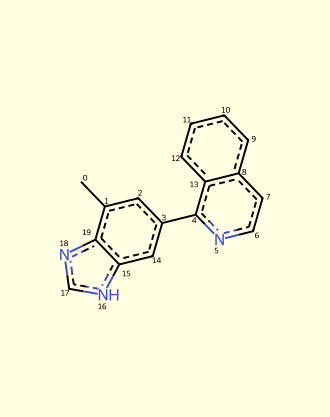 Cc1cc(-c2nccc3ccccc23)cc2[nH]cnc12